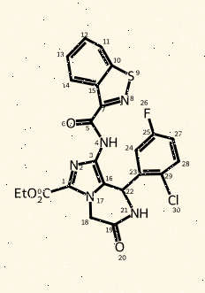 CCOC(=O)c1nc(NC(=O)c2nsc3ccccc23)c2n1CC(=O)NC2c1cc(F)ccc1Cl